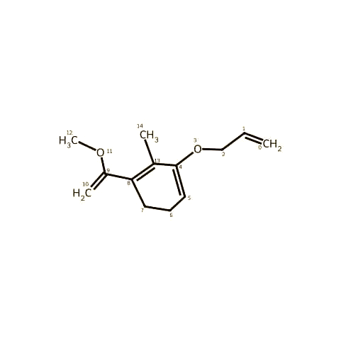 C=CCOC1=CCCC(C(=C)OC)=C1C